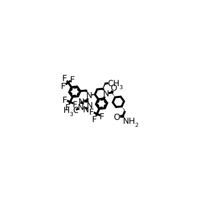 CC[C@@H]1C[C@H](N(Cc2cc(C(F)(F)F)cc(C(F)(F)F)c2)c2nnn(C)n2)c2cc(C(F)(F)F)ccc2N1C(=O)[C@H]1CC[C@@H](CC(N)=O)CC1